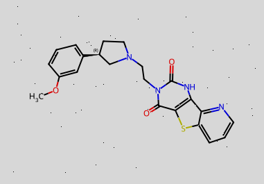 COc1cccc([C@H]2CCN(CCn3c(=O)[nH]c4c(sc5cccnc54)c3=O)C2)c1